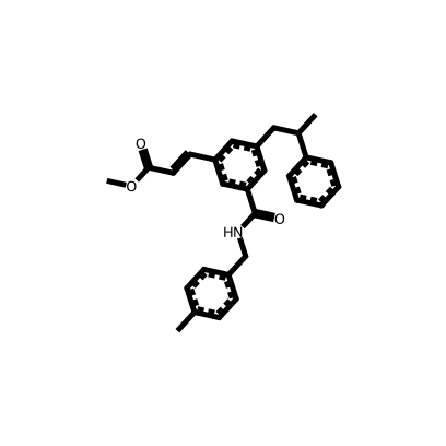 COC(=O)/C=C/c1cc(CC(C)c2ccccc2)cc(C(=O)NCc2ccc(C)cc2)c1